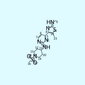 CNc1nc(-c2ccnc(NC3CCN(S(C)(=O)=O)CC3)n2)c(C)s1